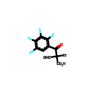 CCC(C=O)(C(=O)O)C(=O)c1cc(F)c(F)c(F)c1F